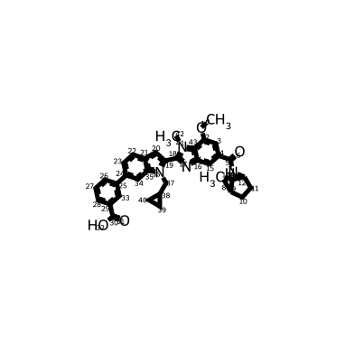 COc1cc(C(=O)N2CC3CCC2[C@@H]3C)cc2nc(-c3cc4ccc(-c5cccc(C(=O)O)c5)cc4n3CC3CC3)n(C)c12